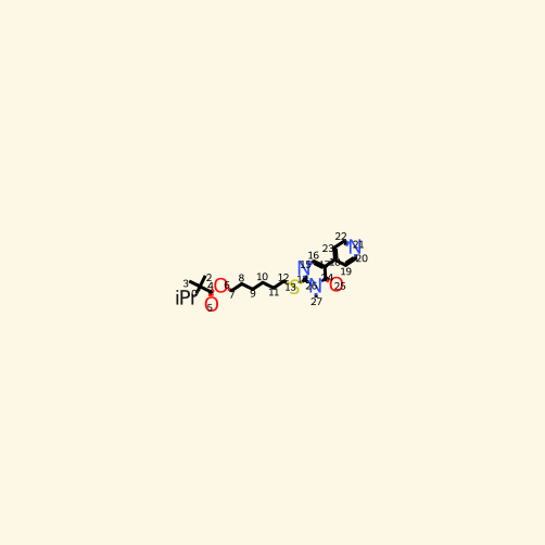 CC(C)C(C)(C)C(=O)OCCCCCCSc1ncc(-c2ccncc2)c(=O)n1C